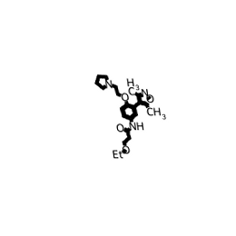 CCOCCC(=O)Nc1ccc(OCCN2CCCC2)c(-c2c(C)noc2C)c1